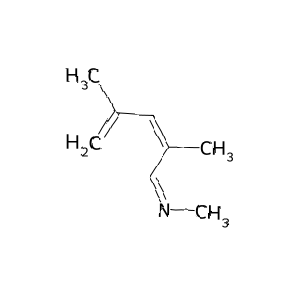 C=C(C)/C=C(C)\C=N/C